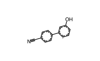 N#Cc1ccc(-c2[c]ccc(O)c2)cc1